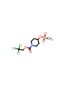 CS(=O)(=O)OC1CCN(C(=O)OCC(Cl)(Cl)Cl)CC1